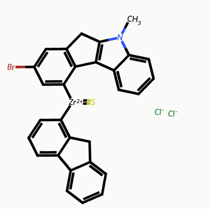 Cn1c2c(c3ccccc31)-c1c(cc(Br)c[c]1[Zr+2](=[S])[c]1cccc3c1Cc1ccccc1-3)C2.[Cl-].[Cl-]